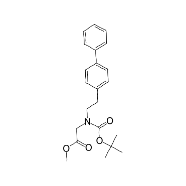 COC(=O)CN(CCc1ccc(-c2ccccc2)cc1)C(=O)OC(C)(C)C